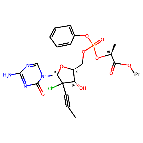 CC#CC1(Cl)[C@@H](O)[C@@H](COP(=O)(Oc2ccccc2)O[C@@H](C)C(=O)OC(C)C)O[C@H]1n1cnc(N)nc1=O